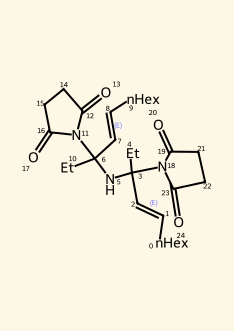 CCCCCC/C=C/C(CC)(NC(/C=C/CCCCCC)(CC)N1C(=O)CCC1=O)N1C(=O)CCC1=O